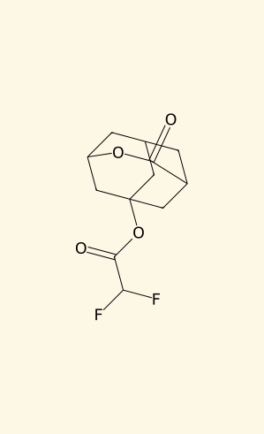 O=C(OC12CC3CC(C1)OC(=O)C(C3)C2)C(F)F